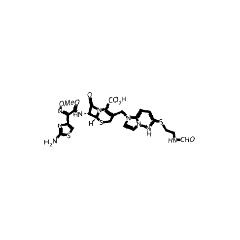 CO/N=C(\C(=O)N[C@@H]1C(=O)N2C(C(=O)O)=C(CN3C=CN4NC(SCCNC=O)=CC=C34)CS[C@@H]12)c1csc(N)n1